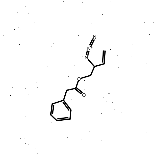 C=CC(COC(=O)Cc1ccccc1)N=[N+]=[N-]